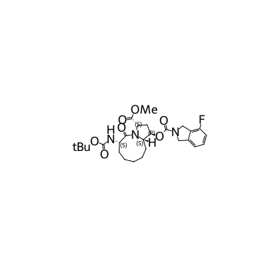 COC(=O)[C@@H]1C[C@@H](OC(=O)N2Cc3cccc(F)c3C2)[C@@H]2CCCCC[C@H](NC(=O)OC(C)(C)C)C(=O)N12